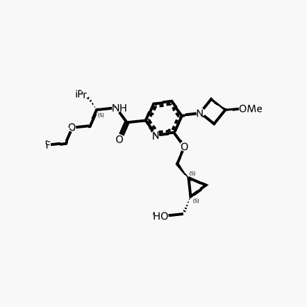 COC1CN(c2ccc(C(=O)N[C@H](COCF)C(C)C)nc2OC[C@H]2C[C@@H]2CO)C1